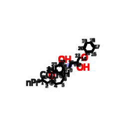 CCCC(C[C@@H]1CCC[C@@H]2[C@@H](/C=C/[C@@H](O)COc3ccccc3)[C@H](O)C[C@@H]2O1)C(=O)O